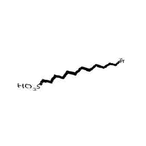 CC(C)CCCCCCCCCCCCS(=O)(=O)O